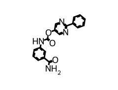 NC(=O)c1cccc(NC(=O)Oc2cnc(-c3ccccc3)nc2)c1